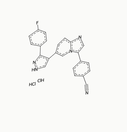 Cl.Cl.N#Cc1ccc(-c2cnc3ccc(-c4c[nH]nc4-c4ccc(F)cc4)cn23)cc1